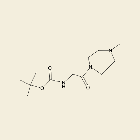 CN1CCN(C(=O)CNC(=O)OC(C)(C)C)CC1